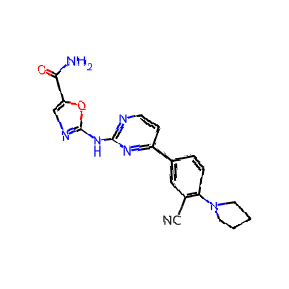 N#Cc1cc(-c2ccnc(Nc3ncc(C(N)=O)o3)n2)ccc1N1CCCC1